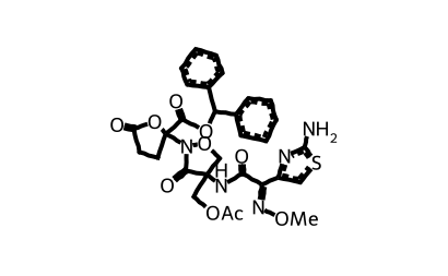 CON=C(C(=O)NC1(COC(C)=O)CON(C2(C(=O)OC(c3ccccc3)c3ccccc3)CCC(=O)O2)C1=O)c1csc(N)n1